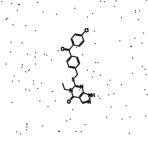 CCn1c(SCc2ccc(C(=O)c3ccc(Cl)cc3)cc2)nc2[nH]ncc2c1=O